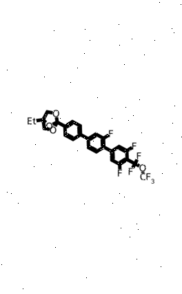 CCC12COC(c3ccc(-c4ccc(-c5cc(F)c(C(F)(F)OC(F)(F)F)c(F)c5)c(F)c4)cc3)(OC1)O2